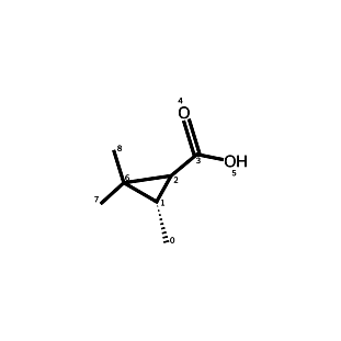 C[C@H]1C(C(=O)O)C1(C)C